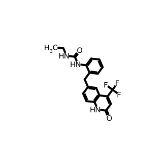 CCNC(=O)Nc1ccccc1Cc1ccc2[nH]c(=O)cc(C(F)(F)F)c2c1